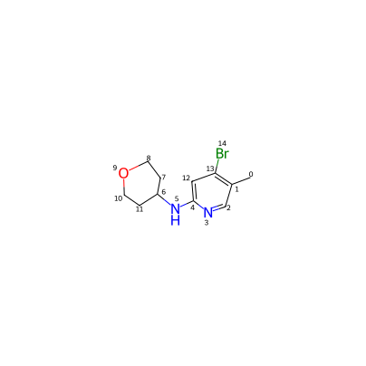 Cc1cnc(NC2CCOCC2)cc1Br